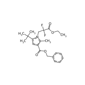 CCOC(=O)C(F)(F)Cn1c(C(C)(C)C)cc(C(=O)OCc2ccccc2)c1C